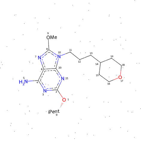 CCC[C@@H](C)Oc1nc(N)c2nc(OC)n(CCCC3CCOCC3)c2n1